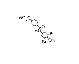 O=C(O)c1ccc(C(=O)Nc2cc(Br)c(O)c(Br)c2)cc1